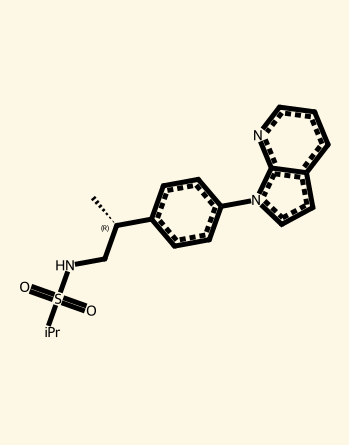 CC(C)S(=O)(=O)NC[C@H](C)c1ccc(-n2ccc3cccnc32)cc1